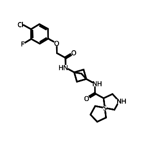 O=C(COc1ccc(Cl)c(F)c1)NC12CC(NC(=O)C3CNCS34CCCC4)(C1)C2